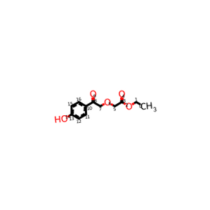 CCOC(=O)COCC(=O)c1ccc(O)cc1